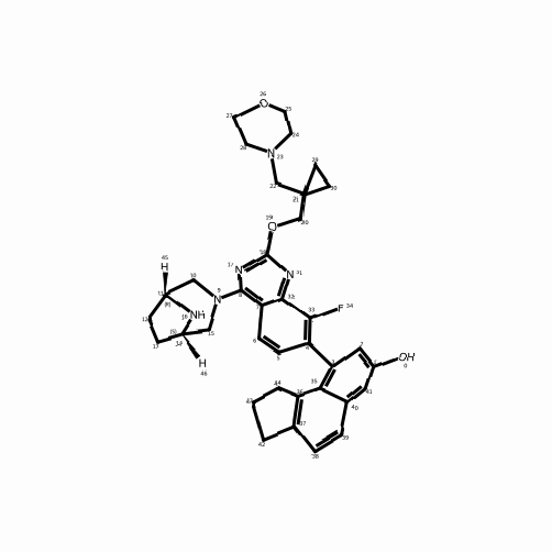 Oc1cc(-c2ccc3c(N4C[C@H]5CC[C@@H](C4)N5)nc(OCC4(CN5CCOCC5)CC4)nc3c2F)c2c3c(ccc2c1)CCC3